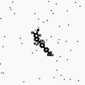 CCC1=Cc2ncc(C(C)(C)N3CC=C(c4ccc(C(=O)NC)nc4)CC3)cc2NC1=C=O